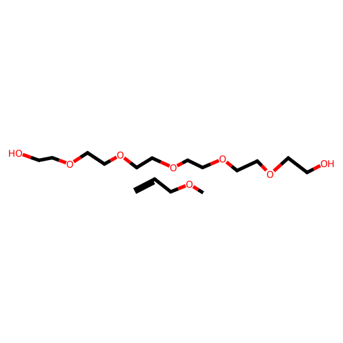 C=CCOC.OCCOCCOCCOCCOCCOCCO